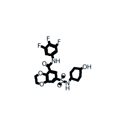 O=C(Nc1cc(F)c(F)c(F)c1)c1cc(S(=O)(=O)NC2CCC(O)CC2)cc2c1OCCO2